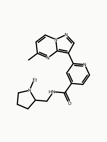 CCN1CCCC1CNC(=O)c1ccnc(-c2cnn3ccc(C)nc23)c1